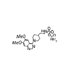 COc1cc2ncnc(N3CCC(CCNS(=O)(=O)OC(N)=O)CC3)c2cc1OC